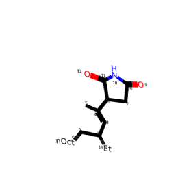 CCCCCCCCCC(C=C(C)C1CC(=O)NC1=O)CC